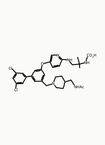 CC(=O)NCC1CCN(Cc2cc(Oc3ccc(NCC(C)(C)NC(=O)O)nc3)cc(-c3cc(Cl)cc(Cl)c3)c2)CC1